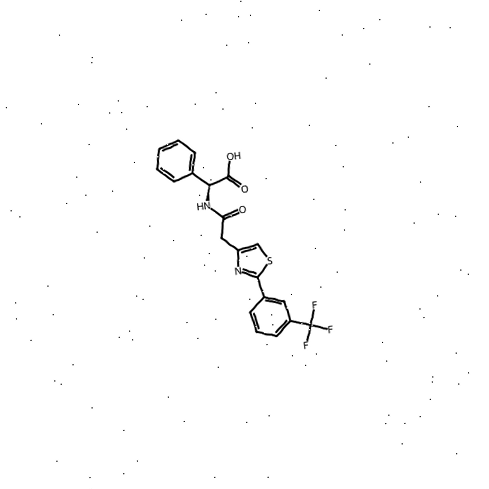 O=C(Cc1csc(-c2cccc(C(F)(F)F)c2)n1)N[C@H](C(=O)O)c1ccccc1